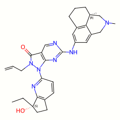 C=CCn1c(=O)c2cnc(Nc3cc4c5c(c3)CN(C)C[C@]5(C)CCC4)nc2n1-c1ccc2c(n1)[C@](O)(CC)CC2